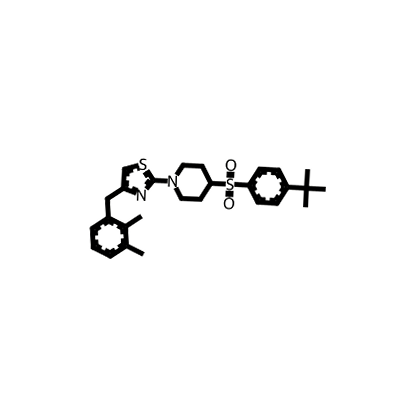 Cc1cccc(Cc2csc(N3CCC(S(=O)(=O)c4ccc(C(C)(C)C)cc4)CC3)n2)c1C